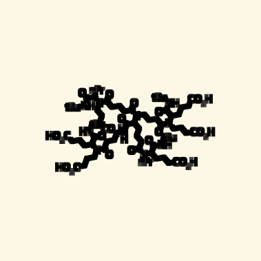 CCCC(C(=O)NC(C)(C)C)N(CCCC(=O)O)C(=O)CCCC(=O)N(CCCC(=O)N(CCCC(=O)O)C(CCCC(=O)O)C(=O)NC(C)(C)C)C(CCCC(=O)N(CCC)C(CCCC(=O)O)C(=O)NC(C)(C)C)C(=O)NCCCC(=O)N(CCCC(=O)O)C(CCCC(=O)O)C(=O)NC(C)(C)C